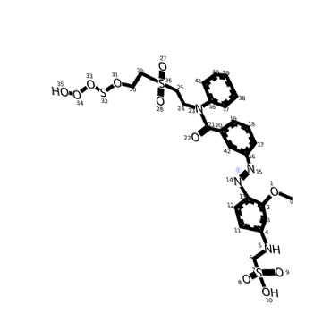 COc1cc(NCS(=O)(=O)O)ccc1/N=N/c1cccc(C(=O)N(CCS(=O)(=O)CCOSOOO)c2ccccc2)c1